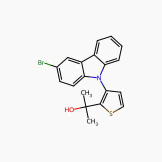 CC(C)(O)c1sccc1-n1c2ccccc2c2cc(Br)ccc21